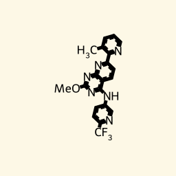 COc1nc(Nc2ccc(C(F)(F)F)nc2)c2ccc(-c3ncccc3C)nc2n1